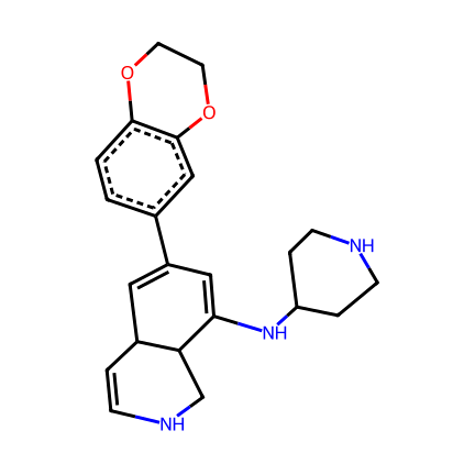 C1=CC2C=C(c3ccc4c(c3)OCCO4)C=C(NC3CCNCC3)C2CN1